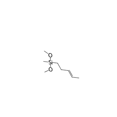 CC=CCC[Si](C)(OC)OC